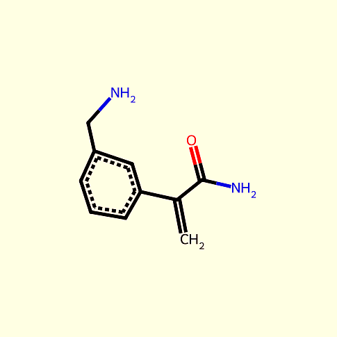 C=C(C(N)=O)c1cccc(CN)c1